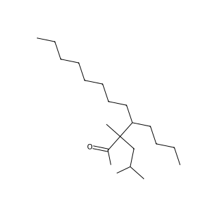 CCCCCCCCC(CCCC)C(C)(CC(C)C)C(C)=O